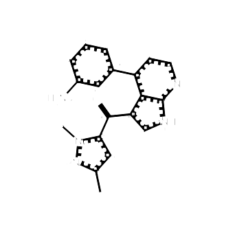 Cc1cc(C(=O)c2c[nH]c3nccc(-c4cccc(N)c4)c23)n(C)n1